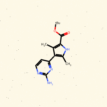 Cc1[nH]c(C(=O)OC(C)(C)C)c(C)c1-c1ccnc(N)n1